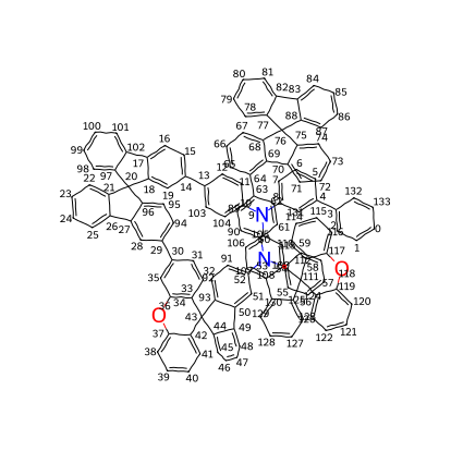 c1ccc(-c2cccc(N(c3ccc(-c4ccc5c(c4)C4(c6ccccc6-c6cc(-c7ccc8c(c7)Oc7ccccc7C87c8ccccc8-c8cc(N(c9ccccc9)c9ccc(-c%10cccc%11c%10-c%10ccccc%10C%11%10c%11ccccc%11-c%11ccccc%11%10)cc9)ccc87)ccc64)c4ccccc4-5)cc3)c3ccc4c(c3)C3(c5ccccc5Oc5ccccc53)c3ccccc3-4)c2)cc1